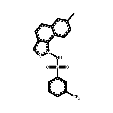 Cc1ccc2c(ccc3cnn(NS(=O)(=O)c4cccc(C(F)(F)F)c4)c32)c1